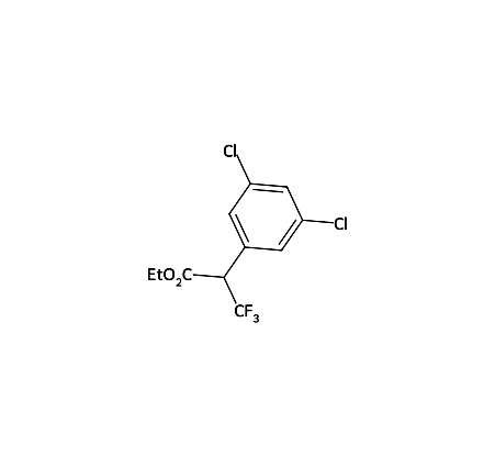 CCOC(=O)C(c1cc(Cl)cc(Cl)c1)C(F)(F)F